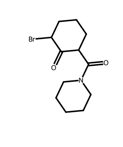 O=C1C(Br)CCCC1C(=O)N1CCCCC1